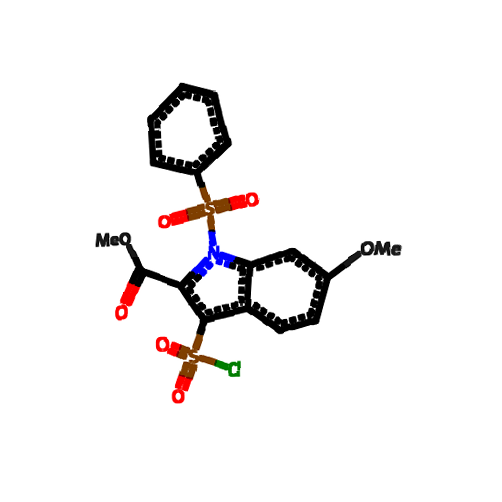 COC(=O)c1c(S(=O)(=O)Cl)c2ccc(OC)cc2n1S(=O)(=O)c1ccccc1